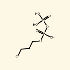 O=P(O)(O)OP(=O)(O)OCCCCl